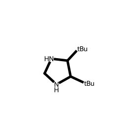 CC(C)(C)C1NCNC1C(C)(C)C